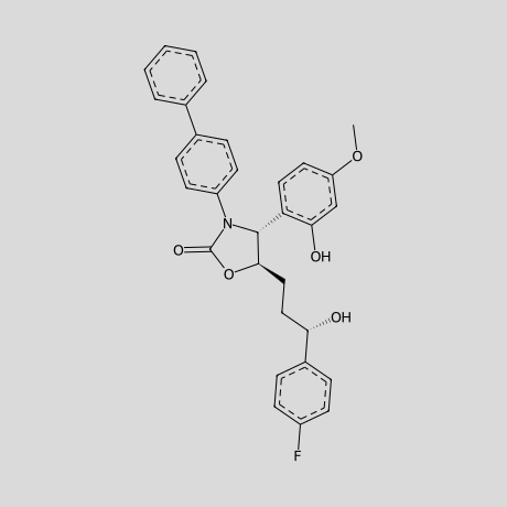 COc1ccc([C@@H]2[C@@H](CC[C@H](O)c3ccc(F)cc3)OC(=O)N2c2ccc(-c3ccccc3)cc2)c(O)c1